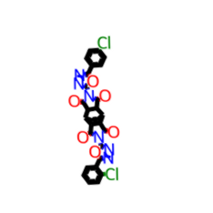 O=C1C2C3C=CC(C2C(=O)N1c1nnc(-c2ccc(Cl)cc2)o1)C1C(=O)N(c2nnc(-c4ccccc4Cl)o2)C(=O)C31